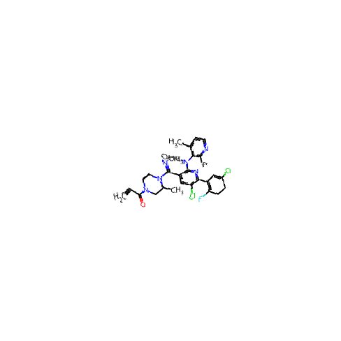 C=CC(=O)N1CCN(/C(=N/C)c2cc(Cl)c(C3=C(F)CCC(Cl)=C3)nc2N(C=O)c2c(C)ccnc2C(C)C)C(C)C1